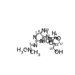 CN(C)/C=N/c1ncc2ncn([C@@H]3O[C@@]4(CO)CO[C@H]3C4O)c2n1